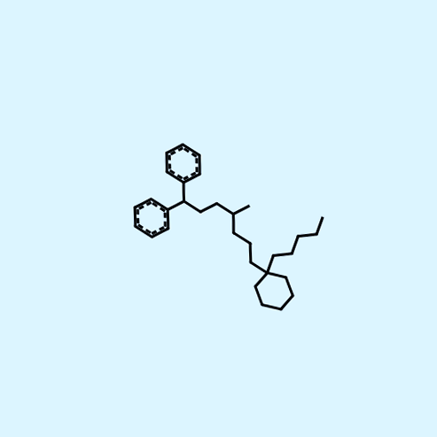 CCCCCC1(CCCC(C)CCC(c2ccccc2)c2ccccc2)CCCCC1